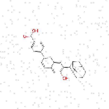 O=C(O)c1ccc(-c2ccc3cc(O)c(C4C5CC6CC(C5)CC4C6)cc3c2)cc1